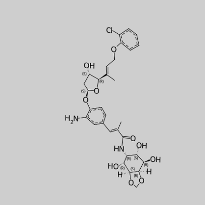 CC(=Cc1ccc(O[C@H]2C[C@H](O)[C@@H](C(C)=CCOc3ccccc3Cl)O2)c(N)c1)C(=O)N[C@@H]1[C@H](O)[C@@H](O)[C@H]2OCO[C@H]2[C@@H]1O